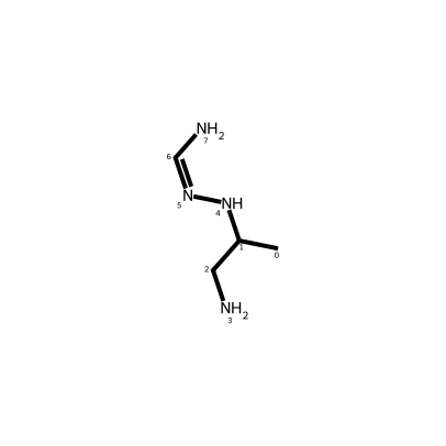 CC(CN)N/N=C\N